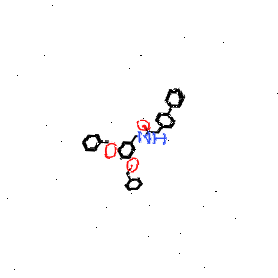 O=C(Cc1ccc(-c2ccccc2)cc1)NCc1cc(OCc2ccccc2)cc(OCc2ccccc2)c1